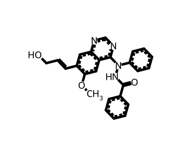 COc1cc2c(N(NC(=O)c3ccccc3)c3ccccc3)ncnc2cc1C=CCO